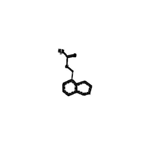 NC(=O)[N]Cc1cccc2ccccc12